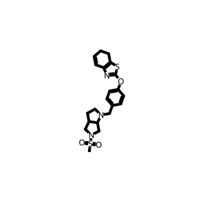 CS(=O)(=O)N1CC2CCN(Cc3ccc(Oc4nc5c(s4)CCC=C5)cc3)C2C1